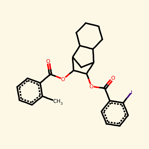 Cc1ccccc1C(=O)OC1C2CC(C3CCCCC32)C1OC(=O)c1ccccc1I